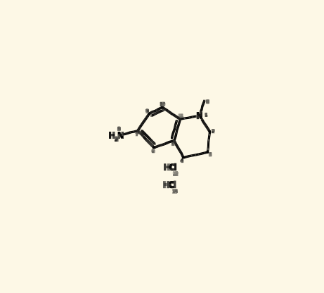 CN1CCCc2cc(N)ccc21.Cl.Cl